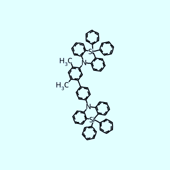 Cc1cc(C)c(N2c3ccccc3[Si](c3ccccc3)(c3ccccc3)c3ccccc32)cc1-c1ccc(N2c3ccccc3[Si](c3ccccc3)(c3ccccc3)c3ccccc32)cc1